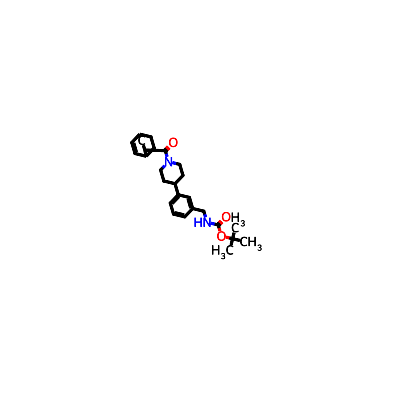 CC(C)(C)OC(=O)NCc1cccc(C2CCN(C(=O)C3CC4C=CC3CC4)CC2)c1